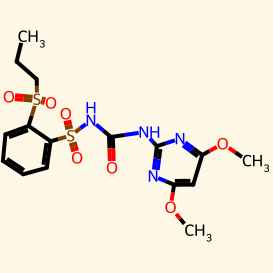 CCCS(=O)(=O)c1ccccc1S(=O)(=O)NC(=O)Nc1nc(OC)cc(OC)n1